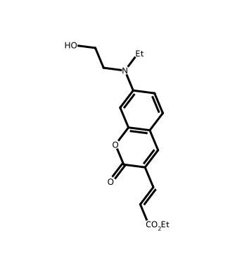 CCOC(=O)/C=C/c1cc2ccc(N(CC)CCO)cc2oc1=O